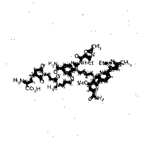 CCc1nc(C)oc1C(=O)Nc1nc2cc(C(N)=O)cc(OCCCN(C)C(=O)CCN3C(=O)CC(SC[C@H](N)C(=O)O)C3=O)c2n1C/C=C/Cn1c2nc(-c3cc(C)nn3CC)ccc2c2nc(C(N)=O)cc(OC)c21